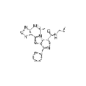 C=CCNC(=O)c1cnc(-c2ccccc2)c2nc(-c3nonc3N)n(C(C)C)c12